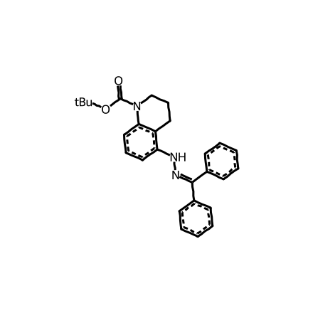 CC(C)(C)OC(=O)N1CCCc2c(NN=C(c3ccccc3)c3ccccc3)cccc21